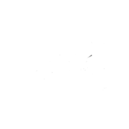 C[C@@H](C[C@H](Cc1ccc(OC2CCC2)cc1)NC(=O)OC(C)(C)C)C(=O)O